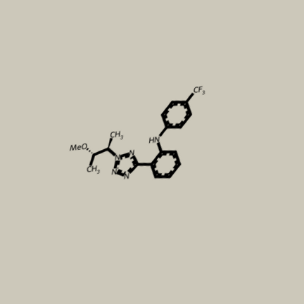 CO[C@@H](C)[C@@H](C)n1nnc(-c2ccccc2Nc2ccc(C(F)(F)F)cc2)n1